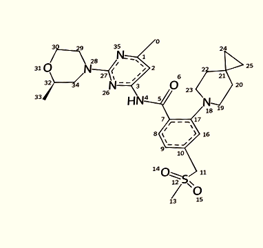 Cc1cc(NC(=O)c2ccc(CS(C)(=O)=O)cc2N2CCC3(CC2)CC3)nc(N2CCO[C@H](C)C2)n1